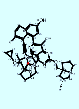 CC(C)[Si](C#Cc1c(F)ccc2cc(O)cc(-c3ncc4c(N5CC6CCC(COC7CC7)(C5)N6)nc(OC[C@@]56CCCN5C[C@H](F)C6)nc4c3F)c12)(C(C)C)C(C)C